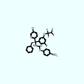 O=C(N[C@@](Cc1ccccc1)(c1cc(F)cc(OC(F)(F)C(F)F)c1)c1ccc(Cl)cn1)Oc1ccc([N+](=O)[O-])cc1